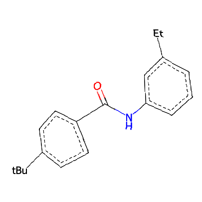 CCc1cccc(NC(=O)c2ccc(C(C)(C)C)cc2)c1